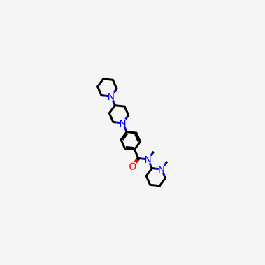 CN1CCCCC1N(C)C(=O)c1ccc(N2CCC(N3CCCCC3)CC2)cc1